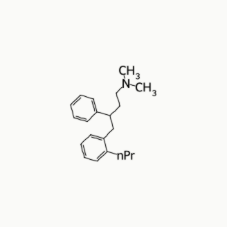 CCCc1ccccc1CC(CCN(C)C)c1ccccc1